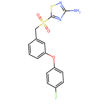 Nc1nsc(S(=O)(=O)Cc2cccc(Oc3ccc(F)cc3)c2)n1